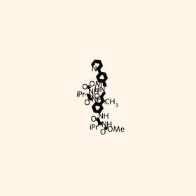 COC(=O)N[C@H](C(=O)Nc1ccc(NC(=O)[C@@H](NC(=O)OC)C(C)C)c([C@H](C)[C@H](O)CNCc2ccc(-c3ccccn3)cc2)c1)C(C)C